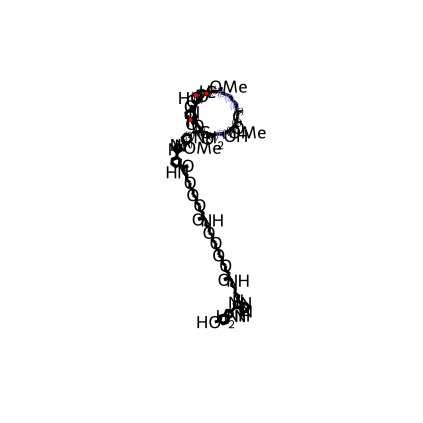 CO[C@H]1C[C@@H]2CC[C@@H](C)[C@@](O)(O2)C(=O)C(=O)N2CCCC[C@H]2C(=O)O[C@H]([C@H](N)C[C@@H]2CC[C@H](n3cc(-c4cccc(C(=O)NCCOCCOCCOCCC(=O)NCCOCCOCCOCCOCCC(=O)NCCCCn5nc(-c6cc7cc(O)ccc7[nH]6)c6c(N)ncnc65)c4)nn3)[C@H](OC)C2)CC(=O)[C@H](C)/C=C(\C)[C@@H](O)[C@@H](OC)C(=O)[C@H](C)C[C@H](C)/C=C/C=C/C=C/1C